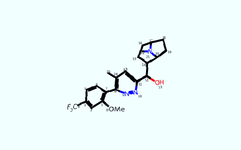 COc1cc(C(F)(F)F)ccc1-c1nnc(C(O)C2CCC3CCC2N3C)cc1C